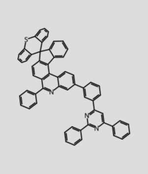 c1ccc(-c2cc(-c3cccc(-c4ccc5c(c4)nc(-c4ccccc4)c4ccc6c(c45)-c4ccccc4C64c5ccccc5Sc5ccccc54)c3)nc(-c3ccccc3)n2)cc1